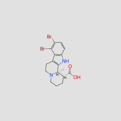 C[C@@]12c3[nH]c4ccc(Br)c(Br)c4c3CCN1CCC[C@H]2C(=O)O